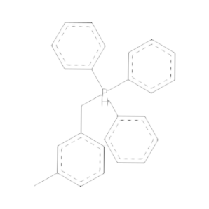 Cc1cccc(C[PH](c2ccccc2)(c2ccccc2)c2ccccc2)c1